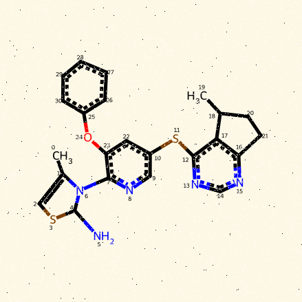 CC1=CSC(N)N1c1ncc(Sc2ncnc3c2C(C)CC3)cc1Oc1ccccc1